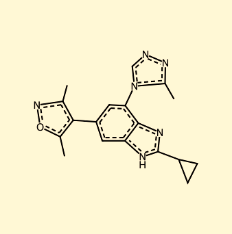 Cc1noc(C)c1-c1cc(-n2cnnc2C)c2nc(C3CC3)[nH]c2c1